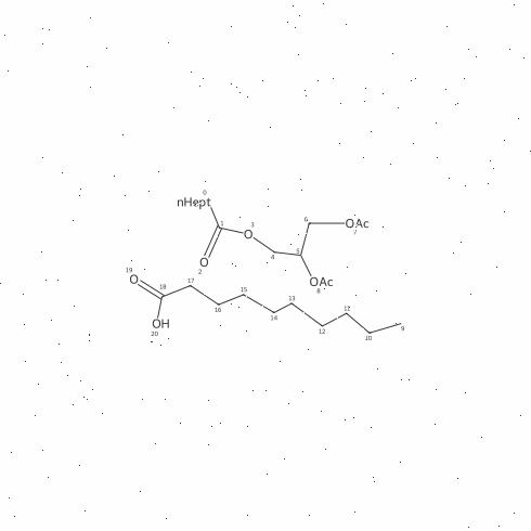 CCCCCCCC(=O)OCC(COC(C)=O)OC(C)=O.CCCCCCCCCC(=O)O